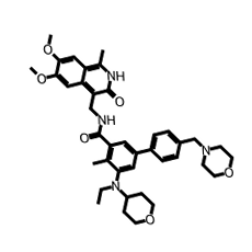 CCN(c1cc(-c2ccc(CN3CCOCC3)cc2)cc(C(=O)NCc2c(=O)[nH]c(C)c3cc(OC)c(OC)cc23)c1C)C1CCOCC1